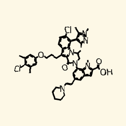 Cc1cc(OCCCc2c3n(c4c(-c5c(C)nn(C)c5C)c(Cl)ccc24)C(C)CN(c2cc(CCN4CCCCC4)cc4cc(C(=O)O)n(C)c24)C3=O)cc(C)c1Cl